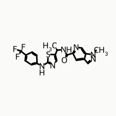 CC(NC(=O)c1cc2cnn(C)c2cn1)c1cnc(Nc2ccc(C(F)(F)F)cc2)s1